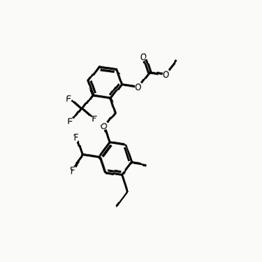 CCc1cc(C(F)F)c(OCc2c(OC(=O)OC)cccc2C(F)(F)F)cc1C